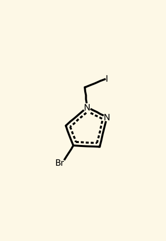 Brc1cnn(CI)c1